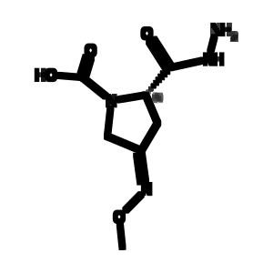 CON=C1C[C@@H](C(=O)NN)N(C(=O)O)C1